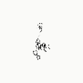 C=C(Cn1c(-c2cccc(OC)c2)cn2cc(CCCCN3CCCC[C@H]3C)cc2c1=O)NC(C)C